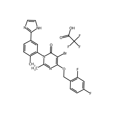 Cc1ccc(-c2ncc[nH]2)cc1-n1c(C)nc(OCc2ccc(F)cc2F)c(Br)c1=O.O=C(O)C(F)(F)F